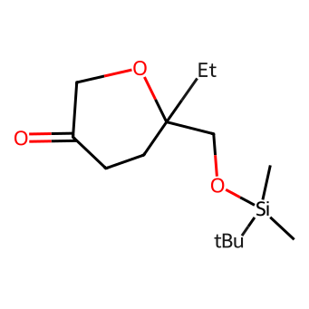 CCC1(CO[Si](C)(C)C(C)(C)C)CCC(=O)CO1